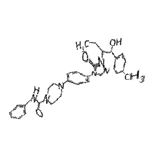 CCC(C(O)c1ccc(C)cc1)n1ncn(-c2ccc(N3CCN(C(=O)Nc4ccccc4)CC3)cc2)c1=O